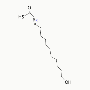 O=C(S)/C=C/CCCCCCCCCCO